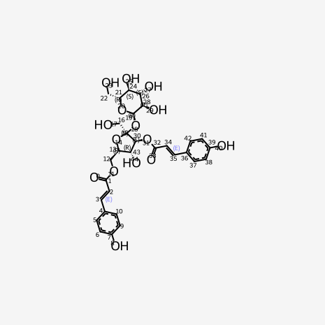 O=C(/C=C/c1ccc(O)cc1)OC[C@H]1O[C@@](CO)(O[C@H]2O[C@H](CO)[C@@H](O)[C@H](O)[C@H]2O)[C@@H](OC(=O)/C=C/c2ccc(O)cc2)[C@@H]1O